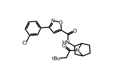 CC(C)(C)CC(=O)N1C2CCC1C(NC(=O)c1cc(-c3cccc(Cl)c3)no1)C2